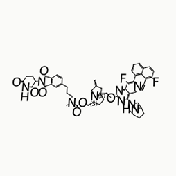 C#Cc1c(F)ccc2cccc(-c3ncc4c(N5CC6CCC(C5)N6)nc(OC[C@@]56CC[C@@H](COC(=O)N(C)CCCc7ccc8c(c7)C(=O)N(C7CCC(=O)NC7=O)C8=O)N5CC(=C)C6)nc4c3F)c12